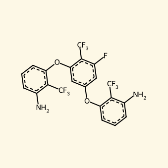 Nc1cccc(Oc2cc(F)c(C(F)(F)F)c(Oc3cccc(N)c3C(F)(F)F)c2)c1C(F)(F)F